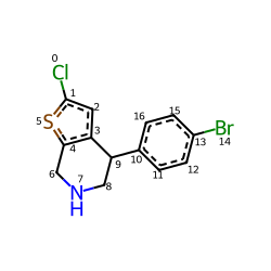 Clc1cc2c(s1)CNCC2c1ccc(Br)cc1